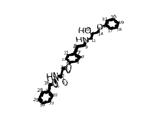 O=C(COc1ccc(CCNCC(O)COc2ccccc2)cc1)NOCc1ccccc1